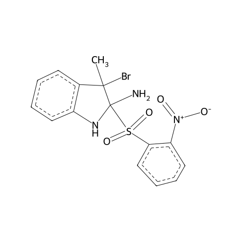 CC1(Br)c2ccccc2NC1(N)S(=O)(=O)c1ccccc1[N+](=O)[O-]